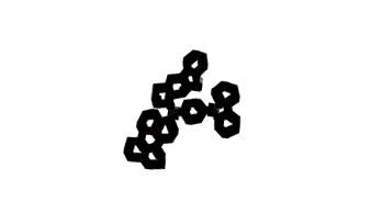 C1=CC2Sc3cc4c(N(c5ccc(-c6cccc7cccc(-c8ccccc8)c67)cc5)c5ccc(-n6c7ccccc7c7ccccc76)cc5)cccc4cc3C2C=C1